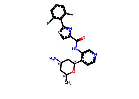 C[C@H]1C[C@@H](N)C[C@@H](c2ccncc2NC(=O)c2csc(-c3c(F)cccc3F)n2)O1